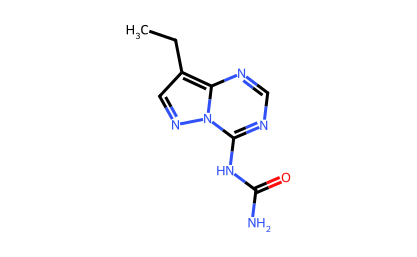 CCc1cnn2c(NC(N)=O)ncnc12